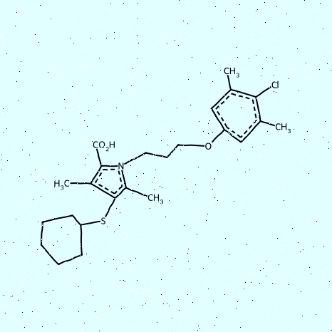 Cc1cc(OCCCn2c(C)c(SC3CCCCC3)c(C)c2C(=O)O)cc(C)c1Cl